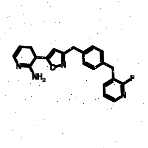 NC1=NC=CCC1c1cc(Cc2ccc(Cc3cccnc3F)cc2)no1